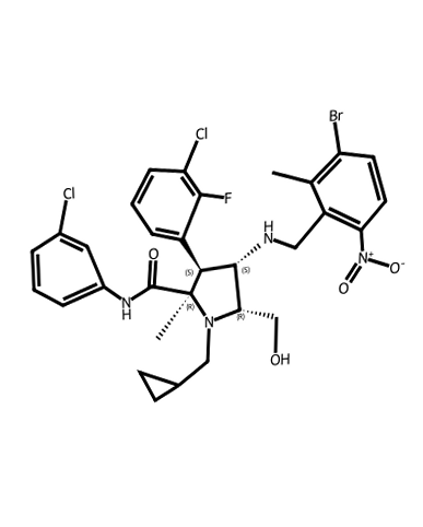 Cc1c(Br)ccc([N+](=O)[O-])c1CN[C@@H]1[C@H](CO)N(CC2CC2)[C@@](C)(C(=O)Nc2cccc(Cl)c2)[C@H]1c1cccc(Cl)c1F